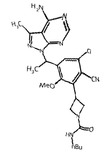 CCCCNC(=O)N1CC(c2c(C#N)c(Cl)cc(C(C)n3nc(C)c4c(N)ncnc43)c2OC)C1